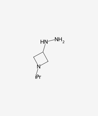 CC(C)N1CC(NN)C1